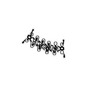 C#CCOc1ccc(OCC#C)c2c1CN1C(=O)N3CN4C(=O)N5CN6C(=O)N7CN8C(=O)N9Cc%10c(OCC#C)ccc(OCC#C)c%10CN%10C(=O)N(CN%11C(=O)N(CN%12C(=O)N(CN%13C(=O)N(C2)C1(C)C3%13)C4[C@H]5%12)[C@H]6C%117)C8[C@]9%10C